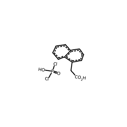 O=C(O)Cc1cccc2ccccc12.O=P(O)(Cl)Cl